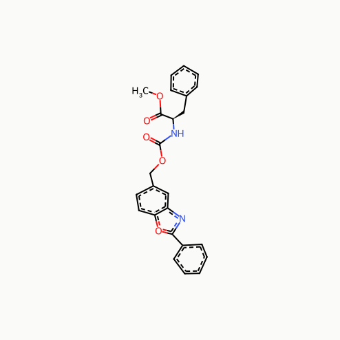 COC(=O)[C@@H](Cc1ccccc1)NC(=O)OCc1ccc2oc(-c3ccccc3)nc2c1